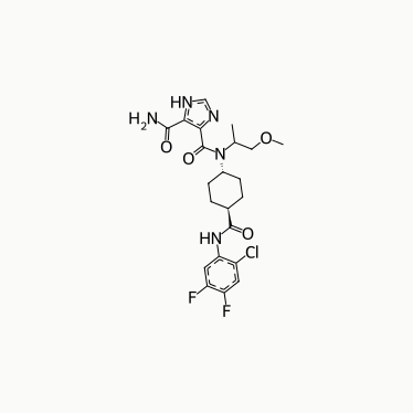 COCC(C)N(C(=O)c1nc[nH]c1C(N)=O)[C@H]1CC[C@H](C(=O)Nc2cc(F)c(F)cc2Cl)CC1